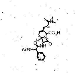 CC(=O)NC(C(=O)NC1C(=O)N2C(C(=O)O)C(CSC(=S)N(C)C)=CS[C@@H]12)c1ccccc1